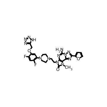 Cn1c(=O)n(CCN2CCN(c3cc(OCc4nnn[nH]4)c(F)cc3F)CC2)c2nc(N)n3nc(-c4ccco4)nc3c21